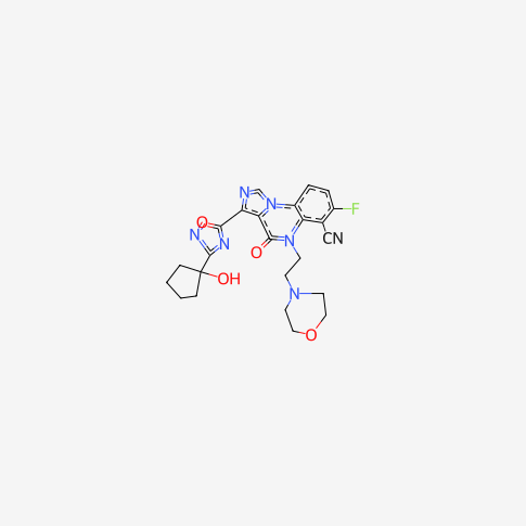 N#Cc1c(F)ccc2c1n(CCN1CCOCC1)c(=O)c1c(-c3nc(C4(O)CCCC4)no3)ncn12